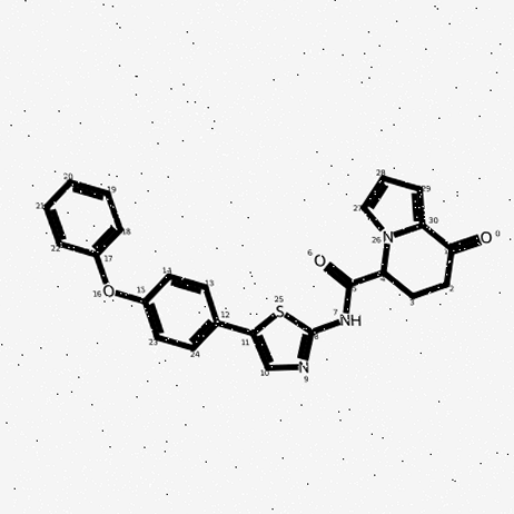 O=C1CCC(C(=O)Nc2ncc(-c3ccc(Oc4ccccc4)cc3)s2)n2cccc21